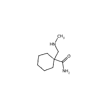 CNCC1(C(N)=O)CCCCC1